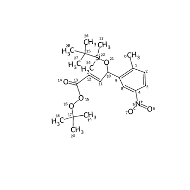 Cc1ccc([N+](=O)[O-])cc1C(C=CC(=O)OOC(C)(C)C)O[Si](C)(C)C(C)(C)C